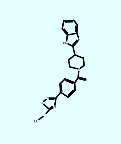 CCc1nc(-c2ccc(C(=O)N3CCC(c4nc5ccccc5[nH]4)CC3)cc2)no1